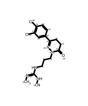 C/N=C(\NC#N)NCCCN1N=C(c2ccc(Cl)c(Cl)c2)CCC1=O